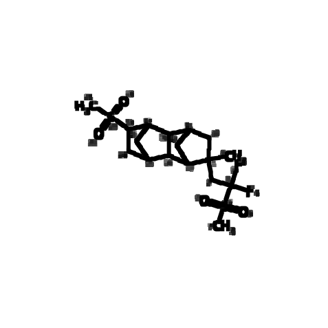 CC1(CC(F)(F)S(C)(=O)=O)CC2CC1C1C3CC(C21)C(S(C)(=O)=O)C3